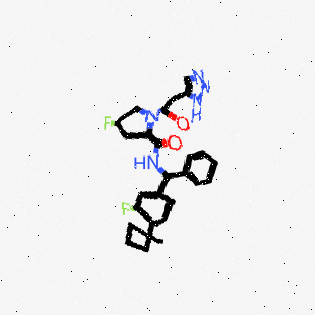 CC1(c2ccc(C(NC(=O)C3CC(F)CN3C(=O)Cc3cnn[nH]3)c3ccccc3)cc2F)CCC1